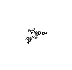 C=C1C=CN([C@@H]2O[C@H](COP(=O)(N[C@@H](C)C(=O)OC(C)C)Oc3ccc(-c4ccc(F)cc4)cc3)[C@@H](O)[C@@]2(C)F)C(=O)N1